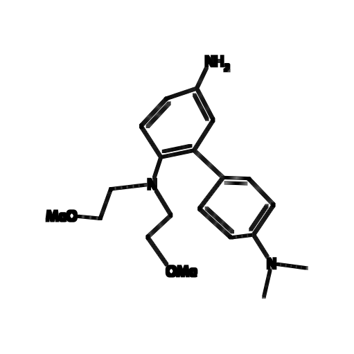 COCCN(CCOC)c1ccc(N)cc1-c1ccc(N(C)C)cc1